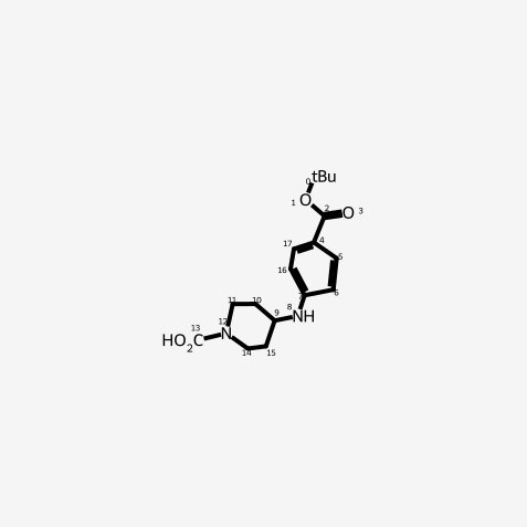 CC(C)(C)OC(=O)c1ccc(NC2CCN(C(=O)O)CC2)cc1